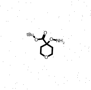 CC(C)(C)OC(=O)C1(ON)CCOCC1